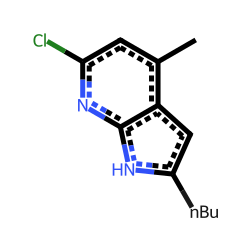 CCCCc1cc2c(C)cc(Cl)nc2[nH]1